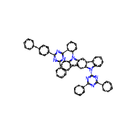 c1ccc(-c2ccc(-c3nc(-c4ccccc4)nc(-c4ccccc4-n4c5ccccc5c5cc6c(cc54)c4ccccc4n6-c4nc(-c5ccccc5)nc(-c5ccccc5)n4)n3)cc2)cc1